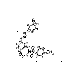 Cc1ccc(S(=O)(=O)N2CCOc3ccc(COCc4cccc(F)c4)cc3C2)cc1